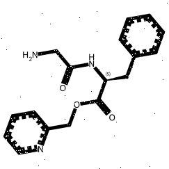 NCC(=O)N[C@@H](Cc1ccccc1)C(=O)OCc1ccccn1